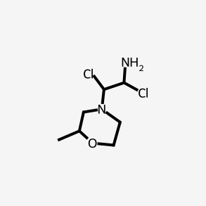 CC1CN(C(Cl)C(N)Cl)CCO1